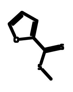 CSC(=S)c1ccco1